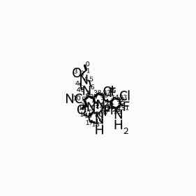 C=CC(=O)N1CCN(c2c(C#N)c(=O)n(C3=C(C)C=CN[C@@H]3C(C)C)c3nc(-c4c(F)c(N)c(F)c(Cl)c4F)c(Cl)cc23)CC1